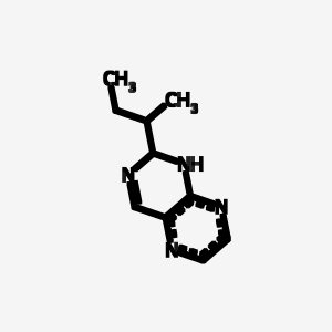 CCC(C)C1N=Cc2nccnc2N1